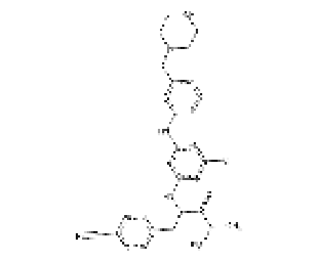 CN(C)C(=O)C(Cc1ccc(C#N)cc1)Nc1nc(Cl)nc(Nc2cccc(CN3CCNCC3)c2)n1